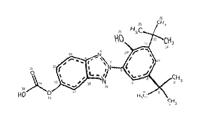 CC(C)(C)c1cc(-n2nc3ccc(OC(=O)O)cc3n2)c(O)c(C(C)(C)C)c1